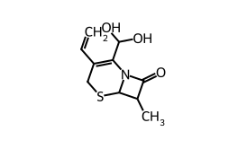 C=CC1=C(C(O)O)N2C(=O)C(C)C2SC1